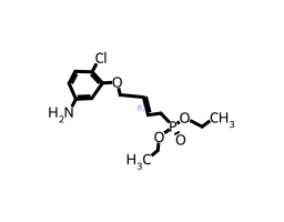 CCOP(=O)(C/C=C/COc1cc(N)ccc1Cl)OCC